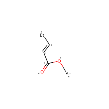 CCC=CC(=O)OC(C)=O